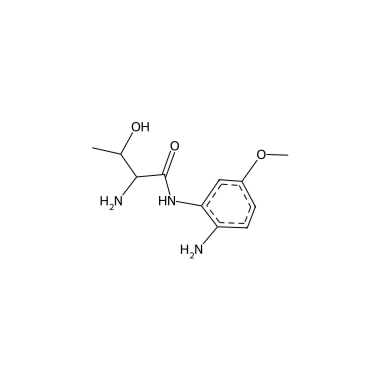 COc1ccc(N)c(NC(=O)C(N)C(C)O)c1